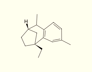 CC[C@@]12CC[C@@H](C1)C(C)c1ccc(C)cc12